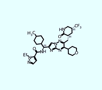 CCn1nccc1C(=O)N[C@H](c1cn2nc(C[C@H]3C[C@@H](C(F)(F)F)CNC3=O)c(C3CCOCC3)nc2n1)C1CCC(C)CC1